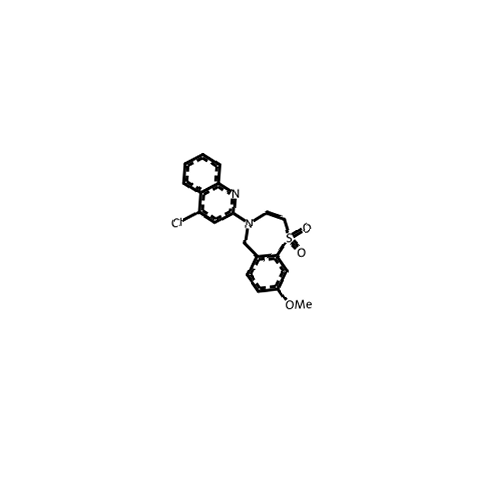 COc1ccc2c(c1)S(=O)(=O)CCN(c1cc(Cl)c3ccccc3n1)C2